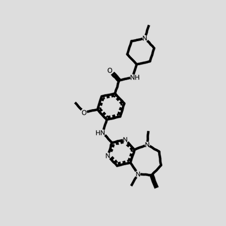 C=C1CCN(C)c2nc(Nc3ccc(C(=O)NC4CCN(C)CC4)cc3OC)ncc2N1C